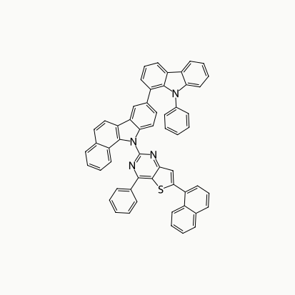 c1ccc(-c2nc(-n3c4ccc(-c5cccc6c7ccccc7n(-c7ccccc7)c56)cc4c4ccc5ccccc5c43)nc3cc(-c4cccc5ccccc45)sc23)cc1